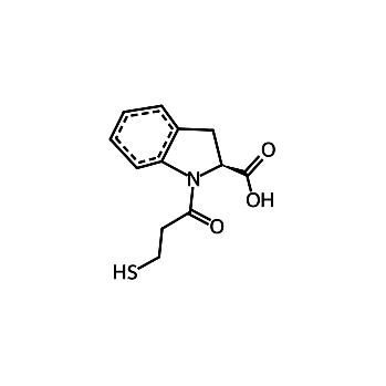 O=C(O)[C@@H]1Cc2ccccc2N1C(=O)CCS